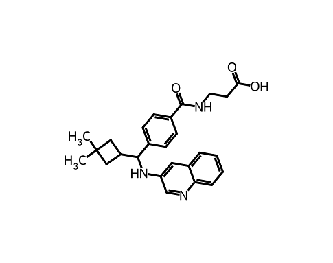 CC1(C)CC(C(Nc2cnc3ccccc3c2)c2ccc(C(=O)NCCC(=O)O)cc2)C1